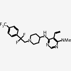 C=Cc1c(NC)ncnc1NC1CCN(CC(F)(F)c2ccc(C(F)(F)F)cc2)CC1